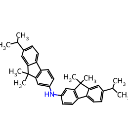 CC(C)c1ccc2c(c1)C(C)(C)c1cc(Nc3ccc4c(c3)C(C)(C)c3cc(C(C)C)ccc3-4)ccc1-2